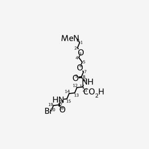 CNCCOCCOCC(=O)N[C@@H](CCCCNC(=O)CBr)C(=O)O